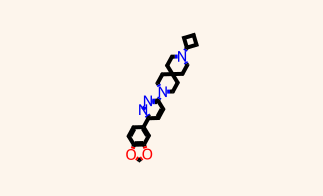 c1cc2c(cc1-c1ccc(N3CCC4(CC3)CCN(C3CCC3)CC4)nn1)OCO2